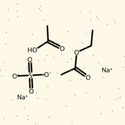 CC(=O)O.CCOC(C)=O.O=S(=O)([O-])[O-].[Na+].[Na+]